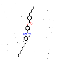 CCCCCCCCCc1ccc2c(c1)CNC(c1ccc(OC(=O)C3CCC(CCCCC)CC3)cc1)N2